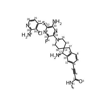 CNC(=O)C#Cc1ccc2c(c1)[C@@H](N)C1(CCN(c3nc(N)c(Sc4ccnc(N)c4Cl)nc3F)CC1)C2